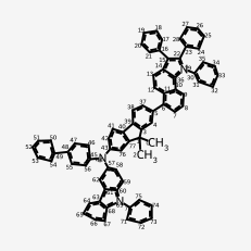 CC1(C)c2cc(-c3cccc4c3ccc3c(-c5ccccc5)c(-c5ccccc5)n(-c5ccccc5)c34)ccc2-c2ccc(N(c3ccc(-c4ccccc4)cc3)c3ccc4c(c3)c3ccccc3n4-c3ccccc3)cc21